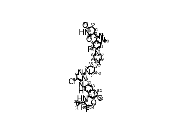 C[C@@H]1CN(c2ncc(Cl)c(Nc3ccc4c(c3)c3c(c(=O)n4C)OCC(F)(F)C(C4CC4)N3)n2)CC[C@@H]1CN1CCN(c2cc3c(cc2F)c(C2CCC(=O)NC2=O)nn3C)CC1